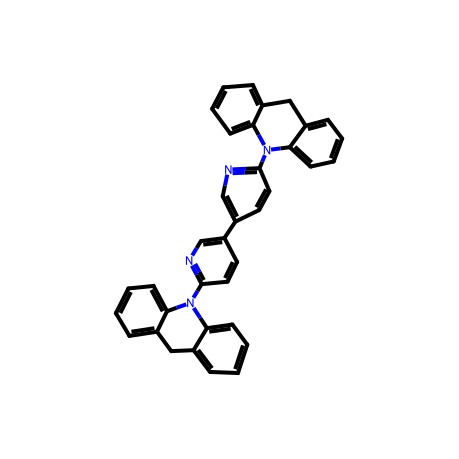 c1ccc2c(c1)Cc1ccccc1N2c1ccc(-c2ccc(N3c4ccccc4Cc4ccccc43)nc2)cn1